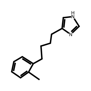 Cc1ccccc1CCCCc1c[nH]cn1